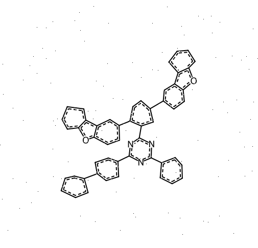 c1ccc(-c2ccc(-c3nc(-c4ccccc4)nc(-c4cc(-c5ccc6oc7ccccc7c6c5)ccc4-c4ccc5oc6ccccc6c5c4)n3)cc2)cc1